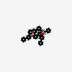 c1ccc(-c2ccc(-c3nc(-c4ccccc4)nc(-c4cccc5c4oc4c(-c6c(-n7c8ccccc8c8cc(-c9ccccc9)ccc87)ccc7oc8ccccc8c67)cccc45)n3)cc2)cc1